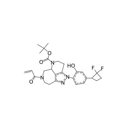 C=CC(=O)N1CCc2nn(-c3ccc(C4CCC4(F)F)cc3O)c3c2C(C1)N(C(=O)OC(C)(C)C)CC3